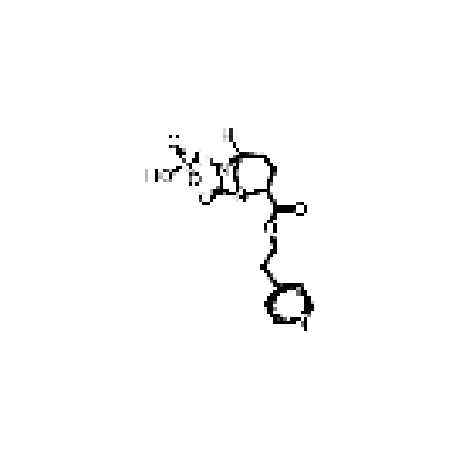 O=C(OCCc1ccncc1)C1CC[C@@H]2CN1C(=O)N2OS(=O)(=O)O